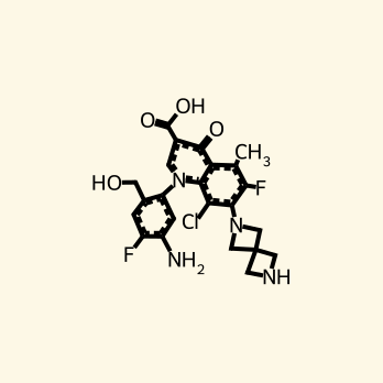 Cc1c(F)c(N2CC3(CNC3)C2)c(Cl)c2c1c(=O)c(C(=O)O)cn2-c1cc(N)c(F)cc1CO